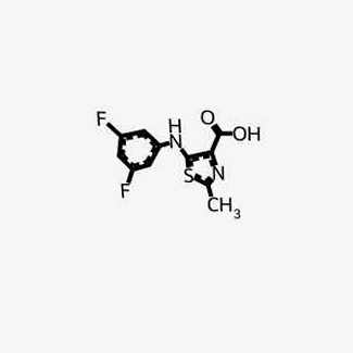 Cc1nc(C(=O)O)c(Nc2cc(F)cc(F)c2)s1